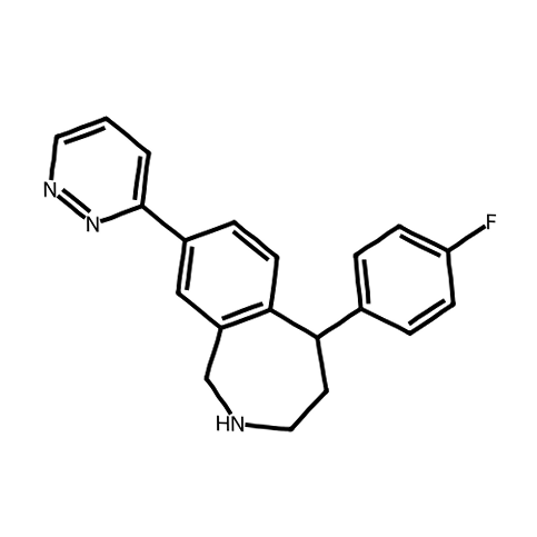 Fc1ccc(C2CCNCc3cc(-c4cccnn4)ccc32)cc1